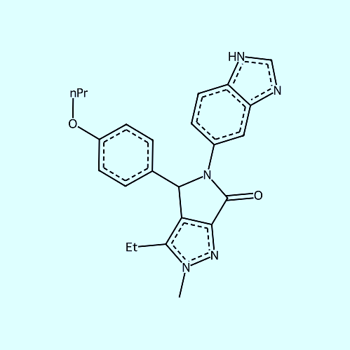 CCCOc1ccc(C2c3c(nn(C)c3CC)C(=O)N2c2ccc3[nH]cnc3c2)cc1